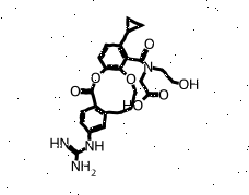 N=C(N)Nc1ccc2c(c1)CCCOc1c(ccc(C3CC3)c1C(=O)N(CCO)CC(=O)O)OC2=O